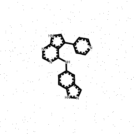 c1cc(-c2c[nH]c3ncnc(Nc4ccc5[nH]ncc5c4)c23)ccn1